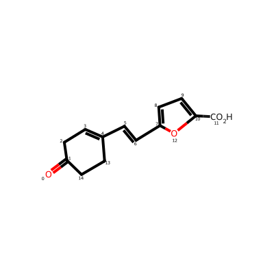 O=C1CC=C(/C=C/c2ccc(C(=O)O)o2)CC1